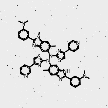 Cc1cc2c(cc1N(c1nc(-c3ccncc3)cs1)N(c1nc(-c3cccnc3)cs1)c1cc3[nH]c(-c4cccc(N(C)C)c4)nc3cc1C)nc(-c1cccc(N(C)C)c1)n2C